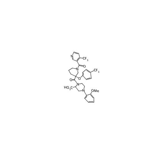 COc1ccccc1N1CCN(C(=O)C2(Oc3ccc(C(F)(F)F)cc3)CCCN(C(=O)c3cnccc3C(F)(F)F)C2)C(C(=O)O)C1